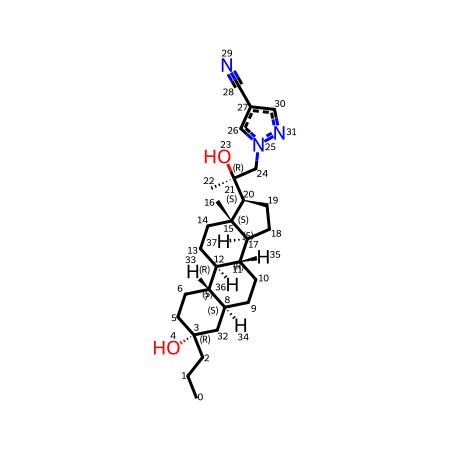 CCC[C@@]1(O)CC[C@H]2[C@@H](CC[C@@H]3[C@@H]2CC[C@@]2(C)[C@H]3CC[C@@H]2[C@@](C)(O)Cn2cc(C#N)cn2)C1